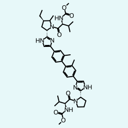 CC[C@@H]1C[C@@H](c2nc(-c3ccc(-c4ccc(-c5c[nH]c([C@@H]6CCCN6C(=O)[C@@H](NC(=O)OC)C(C)C)n5)cc4C)c(C)c3)c[nH]2)N(C(=O)[C@@H](NC(=O)OC)C(C)C)C1C